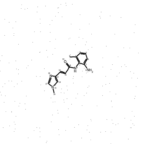 Cc1cccc(N)c1NC(=O)/C=C/c1cn(C)cn1